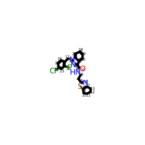 O=C(NCCc1nc2c(s1)CCCC2)c1nn(Cc2ccc(Cl)cc2F)c2ccccc12